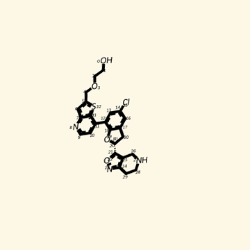 OCCOCc1cc2nccc(-c3cc(Cl)cc4c3O[C@@H](c3onc5c3CNCC5)C4)c2s1